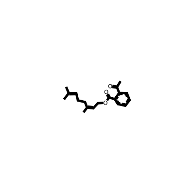 CC(=O)c1ccccc1C(=O)OCC=C(C)CCC=C(C)C